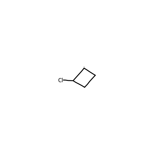 ClC1[CH]CC1